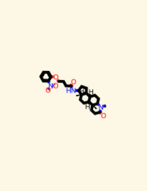 CN1C(=O)CC[C@@]2(C)C1CC[C@@H]1[C@H]2CC[C@]2(C)C(NC(=O)CCCOc3ccccc3[N+](=O)[O-])CC[C@@H]12